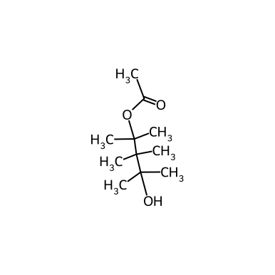 CC(=O)OC(C)(C)C(C)(C)C(C)(C)O